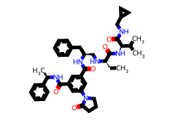 CC[C@H](NC[C@H](Cc1ccccc1)NC(=O)c1cc(C(=O)N[C@H](C)c2ccccc2)cc(N2CCCC2=O)c1)C(=O)N[C@H](C(=O)NCC1CC1)C(C)C